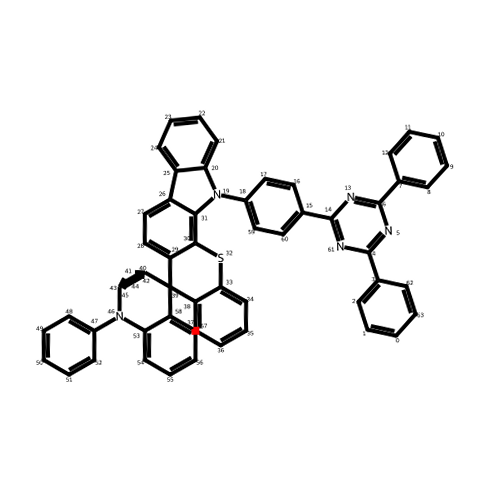 c1ccc(-c2nc(-c3ccccc3)nc(-c3ccc(-n4c5ccccc5c5ccc6c(c54)Sc4ccccc4C64c5ccccc5N(c5ccccc5)c5ccccc54)cc3)n2)cc1